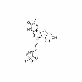 Cc1cn([C@@H]2O[C@H](CO)[C@@H](O)[C@H]2OCCCNC(=O)C(F)(F)F)c(=S)[nH]c1=O